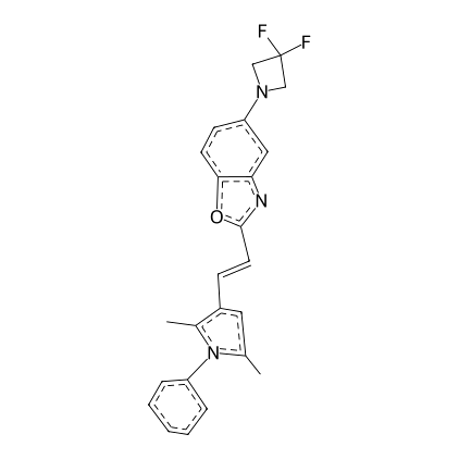 Cc1cc(C=Cc2nc3cc(N4CC(F)(F)C4)ccc3o2)c(C)n1-c1ccccc1